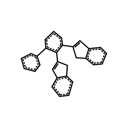 C1=C(c2cccc(-c3ccccc3)c2C2=Cc3ccccc3C2)Cc2ccccc21